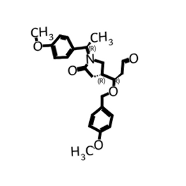 COc1ccc(CO[C@H](CC=O)[C@@H]2CC(=O)N([C@H](C)c3ccc(OC)cc3)C2)cc1